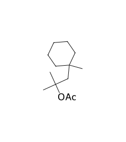 CC(=O)OC(C)(C)CC1(C)CCCCC1